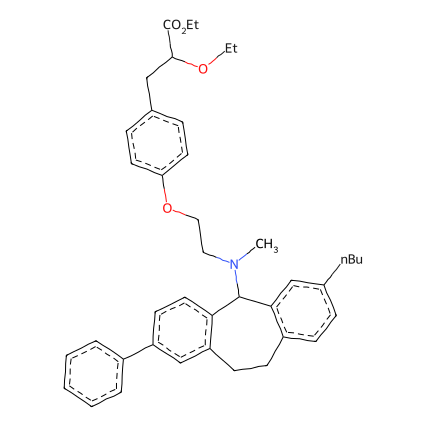 CCCCc1ccc2c(c1)C(N(C)CCOc1ccc(CC(OCC)C(=O)OCC)cc1)c1ccc(-c3ccccc3)cc1CC2